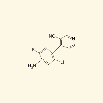 N#Cc1cnccc1-c1cc(F)c(N)cc1Cl